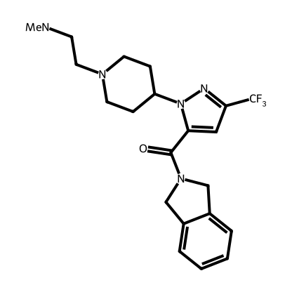 CNCCN1CCC(n2nc(C(F)(F)F)cc2C(=O)N2Cc3ccccc3C2)CC1